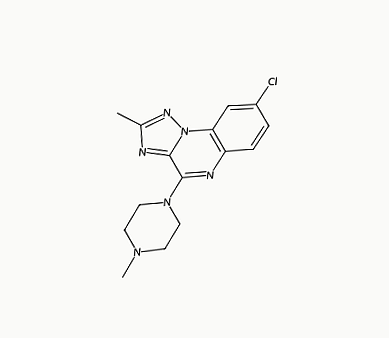 Cc1nc2c(N3CCN(C)CC3)nc3ccc(Cl)cc3n2n1